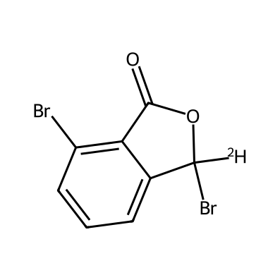 [2H]C1(Br)OC(=O)c2c(Br)cccc21